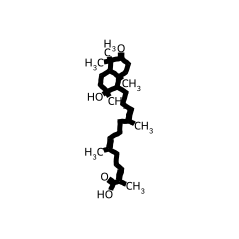 CC(=CCCC(C)=CCCC1C(C)(O)CCC2C(C)(C)C(=O)CCC12C)CCC=C(C)C(=O)O